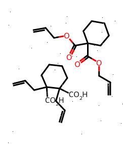 C=CCC1(C(=O)O)CCCCC1(CC=C)C(=O)O.C=CCOC(=O)C1(C(=O)OCC=C)CCCCC1